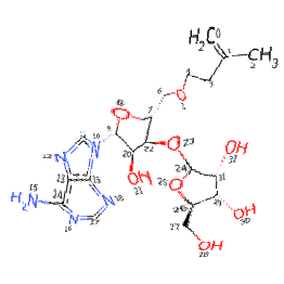 C=C(C)CCOC[C@H]1O[C@@H](n2cnc3c(N)ncnc32)[C@H](O)[C@@H]1OC1O[C@H](CO)[C@@H](O)[C@H]1O